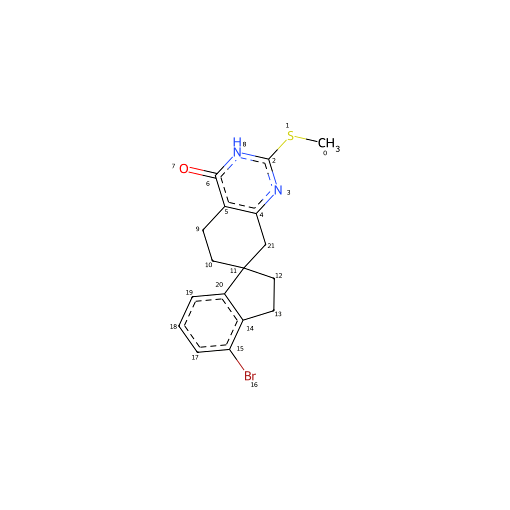 CSc1nc2c(c(=O)[nH]1)CCC1(CCc3c(Br)cccc31)C2